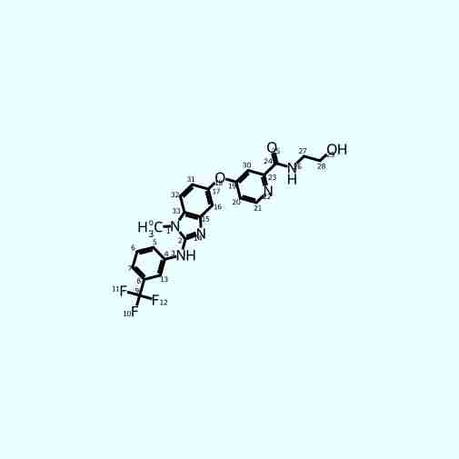 Cn1c(Nc2cccc(C(F)(F)F)c2)nc2cc(Oc3ccnc(C(=O)NCCO)c3)ccc21